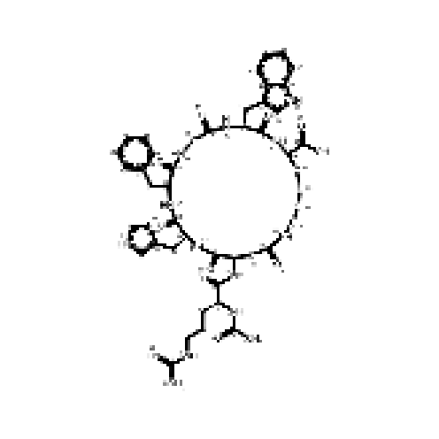 CC(=O)N[C@@H](CCCNC(=N)N)C(=O)NC1CC(=O)NCCCCC(C(=O)O)NC(=O)[C@H](Cc2c[nH]c3ccccc23)NC(=O)CNC(=O)C(Cc2ccccc2)NC(=O)[C@H](Cc2c[nH]cn2)NC1=O